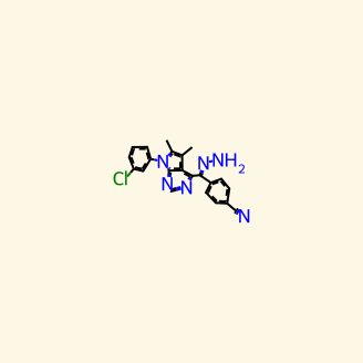 Cc1c(C)n(-c2cccc(Cl)c2)c2ncnc(/C(=N/N)c3ccc(C#N)cc3)c12